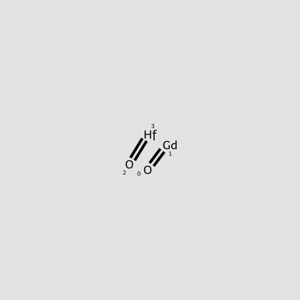 [O]=[Gd].[O]=[Hf]